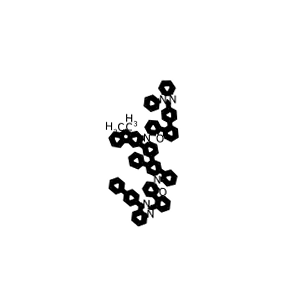 CC1(C)c2ccccc2-c2cc3c4cc(-c5cc6c7ccccc7n(-c7cccc8c7oc7cccc(-c9nc(-c%10ccc(-c%11ccccc%11)cc%10)c%10ccccc%10n9)c78)c6cc5-c5ccccc5)ccc4n(-c4cccc5c4oc4cccc(-c6ccc(-c7nc8ccccc8n7-c7ccccc7)cc6)c45)c3cc21